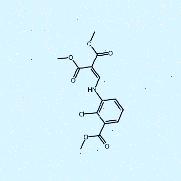 COC(=O)C(=CNc1cccc(C(=O)OC)c1Cl)C(=O)OC